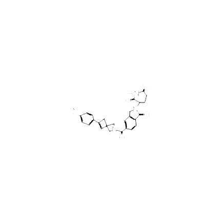 COc1ccc(C2=CC3(C2)CN(C(=O)c2ccc4c(c2)CN(C2CCC(=O)NC2=O)C4=O)C3)cc1